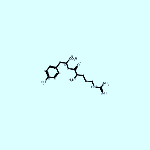 N=C(N)NCCCC(N)C(=O)CC(Cc1ccc(O)cc1)C(=O)O